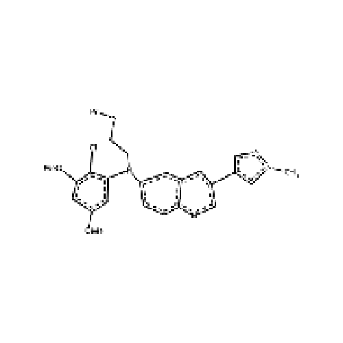 COc1cc(OC)c(Cl)c(N(CCNC(C)C)c2ccc3ncc(-c4cnn(C)c4)cc3c2)c1